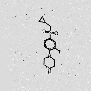 O=S(=O)(CC1CC1)c1ccc(N2CCNCC2)c(F)c1